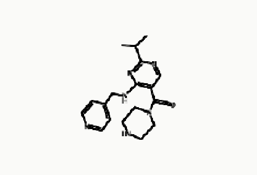 CC(C)c1ncc(C(=O)N2CCNCC2)c(NCc2ccncc2)n1